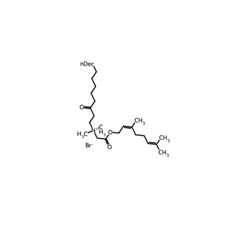 CCCCCCCCCCCCCCCC(=O)CC[N+](C)(C)CC(=O)OCC=C(C)CCC=C(C)C.[Br-]